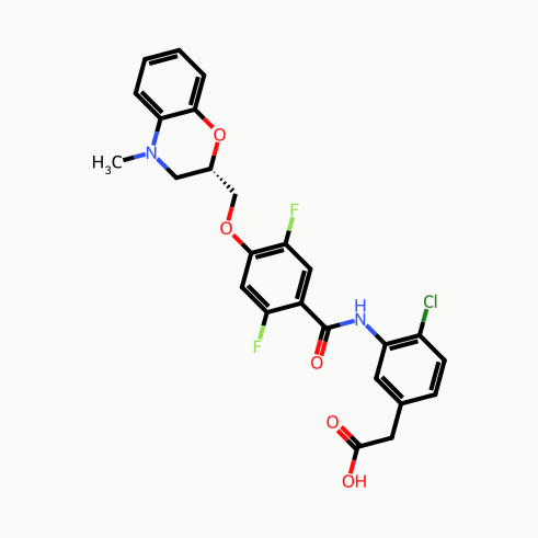 CN1C[C@@H](COc2cc(F)c(C(=O)Nc3cc(CC(=O)O)ccc3Cl)cc2F)Oc2ccccc21